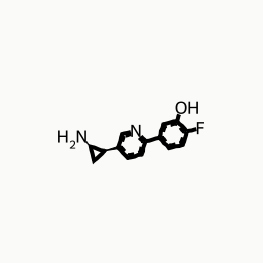 N[C@H]1C[C@@H]1c1ccc(-c2ccc(F)c(O)c2)nc1